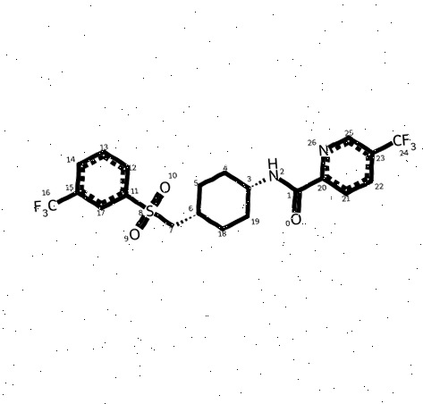 O=C(N[C@H]1CC[C@@H](CS(=O)(=O)c2cccc(C(F)(F)F)c2)CC1)c1ccc(C(F)(F)F)cn1